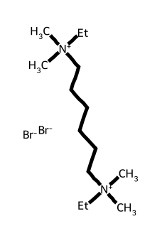 CC[N+](C)(C)CCCCCC[N+](C)(C)CC.[Br-].[Br-]